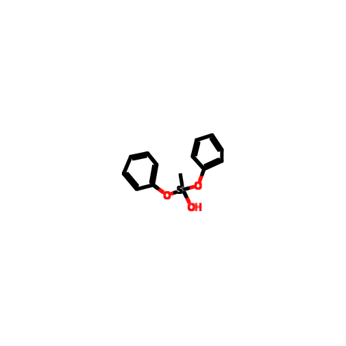 C[Si](O)(Oc1ccccc1)Oc1ccccc1